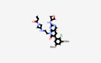 C=CC(=O)N1CC(NCCn2c(=O)c(-c3cc(OC)cc(OC)c3Cl)cc3cnc(NC4COC4)nc32)C1